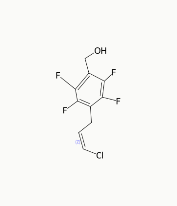 OCc1c(F)c(F)c(C/C=C\Cl)c(F)c1F